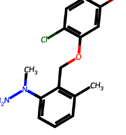 Cc1cccc(N(C)N)c1COc1cc(Br)ccc1Cl